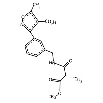 Cc1onc(-c2cccc(CNC(=O)[C@H](C)C(=O)OC(C)(C)C)c2)c1C(=O)O